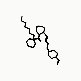 C=CC1CCC(CC/C=C/C2CCCCC2C(=C)C2(CCCCCCC)CCCCC2)CC1